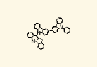 c1ccc(-n2c3ccccc3c3cc(-c4ccc5c(c4)c4ccccc4n5-c4c5ccccc5nc5c4sc4ccccc45)ccc32)cc1